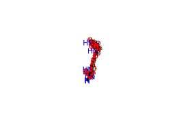 C/C=C\C(=C/C)Nc1c(C#N)cnc2ccc(NC(=O)COCCOCCOCC(=O)Nc3cccc4c3C(=O)N(C3CCC(=O)NC3=O)C4=O)cc12